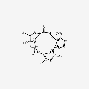 C[C@H]1NC(=O)c2cc(Br)c(O)c(c2)S(=O)(=O)Nc2cc(c(F)cc2F)-c2ccccc21